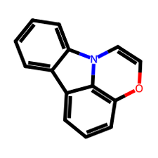 C1=Cn2c3ccccc3c3cccc(c32)O1